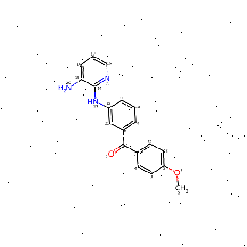 COc1ccc(C(=O)c2cccc(Nc3ncccc3N)c2)cc1